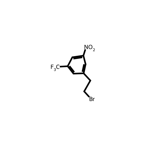 O=[N+]([O-])c1cc(CCBr)cc(C(F)(F)F)c1